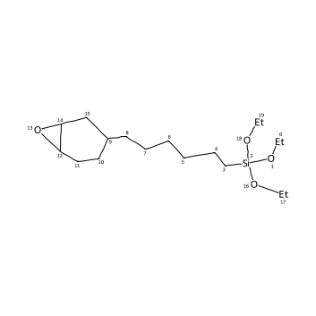 CCO[Si](CCCCCCC1CCC2OC2C1)(OCC)OCC